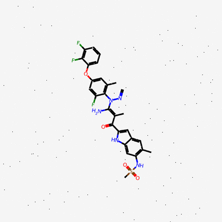 C=NN(/C(N)=C(\C)C(=O)c1cc2cc(C)c(NS(C)(=O)=O)cc2[nH]1)c1c(C)cc(Oc2cccc(F)c2F)cc1F